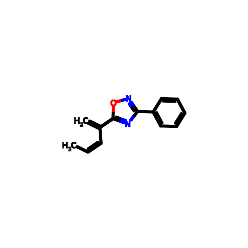 C=C(/C=C\C)c1nc(-c2ccccc2)no1